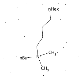 CCCCCCCCCC[N+](C)(C)CCCC